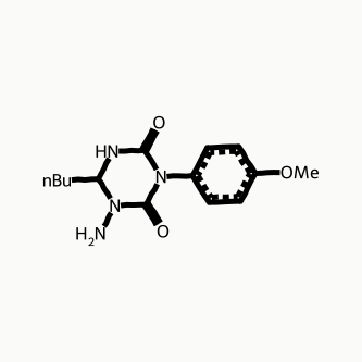 CCCCC1NC(=O)N(c2ccc(OC)cc2)C(=O)N1N